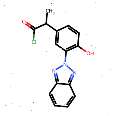 CC(C(=O)Cl)c1ccc(O)c(-n2nc3ccccc3n2)c1